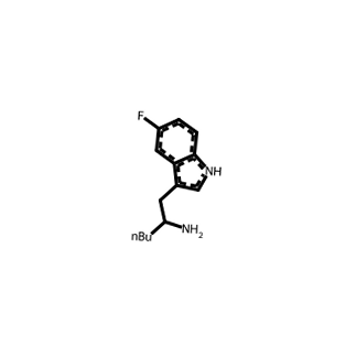 CCCCC(N)Cc1c[nH]c2ccc(F)cc12